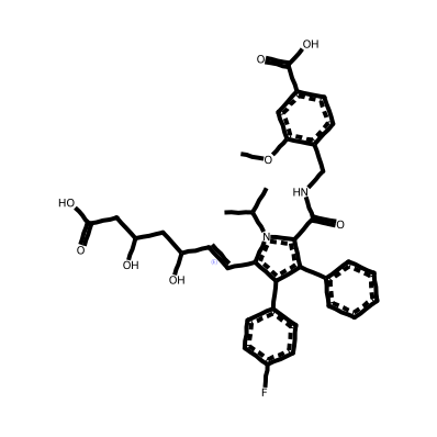 COc1cc(C(=O)O)ccc1CNC(=O)c1c(-c2ccccc2)c(-c2ccc(F)cc2)c(/C=C/C(O)CC(O)CC(=O)O)n1C(C)C